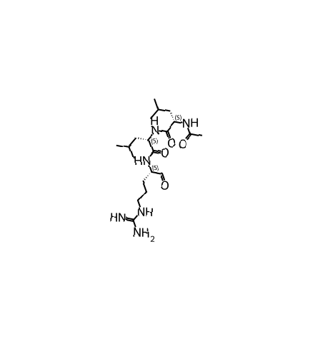 CC(=O)N[C@@H](CC(C)C)C(=O)N[C@@H](CC(C)C)C(=O)N[C@H](C=O)CCCNC(=N)N